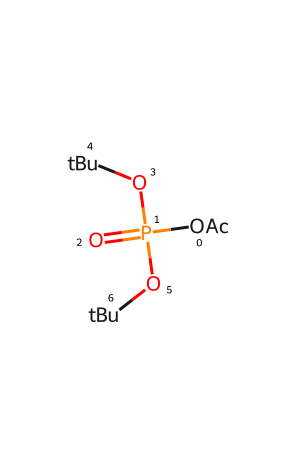 CC(=O)OP(=O)(OC(C)(C)C)OC(C)(C)C